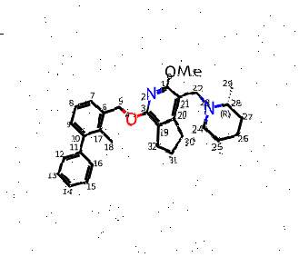 COc1nc(OCc2cccc(-c3ccccc3)c2C)c2c(c1CN1CCCC[C@H]1C)CCC2